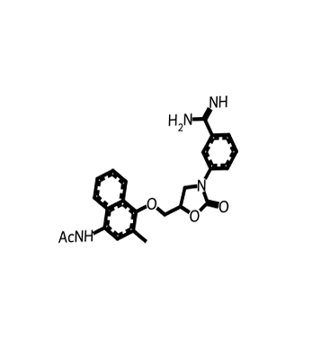 CC(=O)Nc1cc(C)c(OCC2CN(c3cccc(C(=N)N)c3)C(=O)O2)c2ccccc12